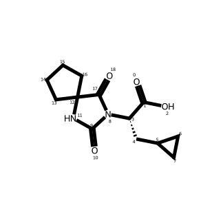 O=C(O)[C@H](CC1CC1)N1C(=O)NC2(CCCC2)C1=O